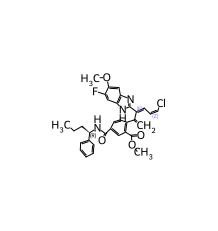 C=C(/C(=C\C=C/Cl)c1nc2cc(OC)c(F)cc2[nH]1)c1ccc(C(=O)N[C@H](CCC)c2ccccc2)cc1C(=O)OC